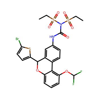 CCS(=O)(=O)N(C(=O)Nc1ccc2c(c1)C(c1ccc(Br)s1)Oc1cccc(OC(F)F)c1-2)S(=O)(=O)CC